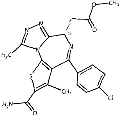 COC(=O)C[C@@H]1N=C(c2ccc(Cl)cc2)c2c(sc(C(N)=O)c2C)-n2c(C)nnc21